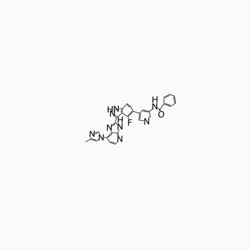 Cc1cn(-c2ccnc3[nH]c(-c4n[nH]c5ccc(-c6cncc(NC(=O)c7ccccc7)c6)c(F)c45)nc23)cn1